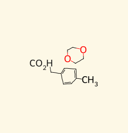 C1COCCO1.Cc1ccc(CC(=O)O)cc1